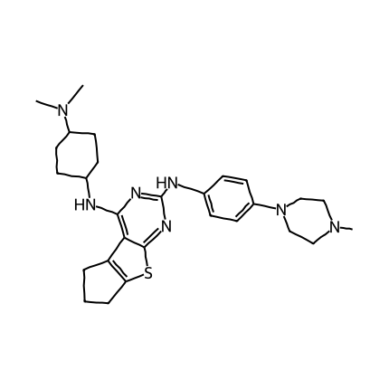 CN1CCN(c2ccc(Nc3nc(NC4CCC(N(C)C)CC4)c4c5c(sc4n3)CCC5)cc2)CC1